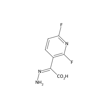 N/N=C(\C(=O)O)c1ccc(F)nc1F